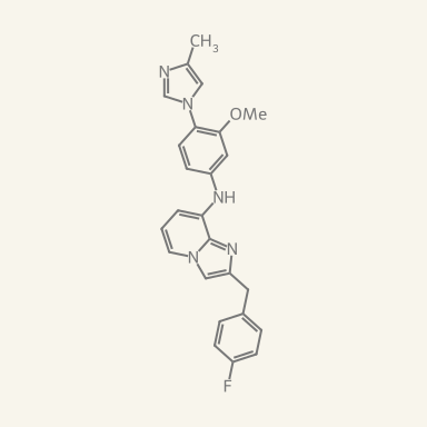 COc1cc(Nc2cccn3cc(Cc4ccc(F)cc4)nc23)ccc1-n1cnc(C)c1